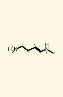 CN/C=C/CCN